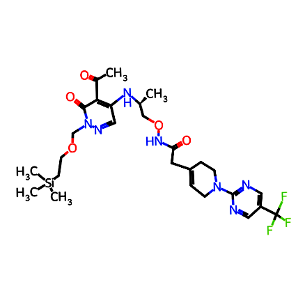 CC(=O)c1c(N[C@@H](C)CONC(=O)CC2=CCN(c3ncc(C(F)(F)F)cn3)CC2)cnn(COCC[Si](C)(C)C)c1=O